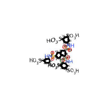 O=S(=O)(O)c1cc(NS(=O)(=O)c2cc(Cl)c3c(S(=O)(=O)Nc4cc(S(=O)(=O)O)cc(S(=O)(=O)O)c4)cc(S(=O)(=O)Nc4cc(S(=O)(=O)O)cc(S(=O)(=O)O)c4)cc3c2)cc(S(=O)(=O)O)c1